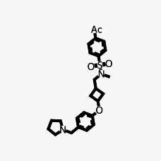 CC(=O)c1ccc(S(=O)(=O)N(C)CC2CC(Oc3ccc(CN4CCCC4)cc3)C2)cc1